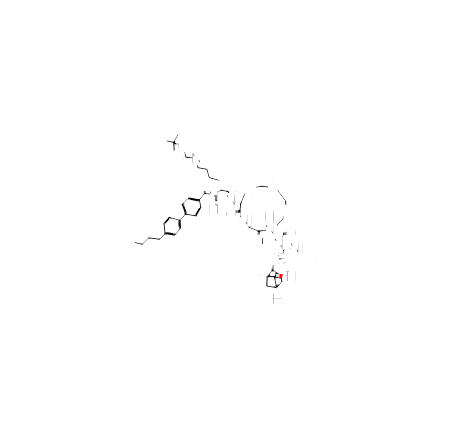 CCCCc1ccc(-c2ccc(C(=O)N[C@@H](CCCCNC(=O)OC(C)(C)C)C(=O)N[C@H]3COCCCCOC[C@@H](C(=O)N[C@@H](N)B4O[C@@H]5C[C@@H]6C[C@@H](C6(C)C)[C@]5(C)O4)NC(=O)[C@H](C)NC3=O)cc2)cc1